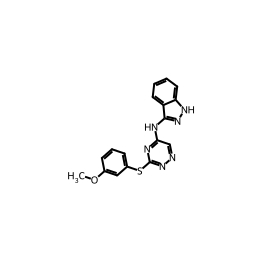 COc1cccc(Sc2nncc(Nc3n[nH]c4ccccc34)n2)c1